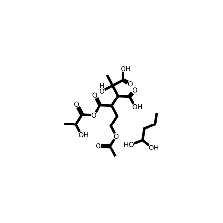 CC(=O)OCCC(C(=O)OC(=O)C(C)O)C(C(=O)O)C(C)(O)C(=O)O.CCCC(O)O